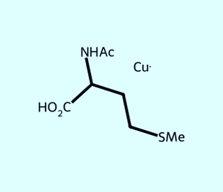 CSCCC(NC(C)=O)C(=O)O.[Cu]